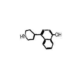 Oc1ccc(C2CCNCC2)c2ccccc12